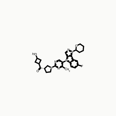 Cc1nc(N2CC[C@H](C(=O)C3CC(O)C3)C2)ncc1-n1c2ccc(F)cc2c2c1cnn2C1CCCCO1